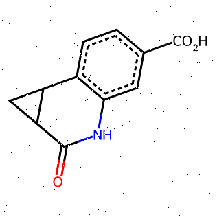 O=C(O)c1ccc2c(c1)NC(=O)C1CC21